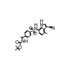 Cc1ccc(NS(=O)(=O)c2ccc([C@@H](C)NC(=O)OC(C)(C)C)cc2)c2[nH]cc(C#N)c12